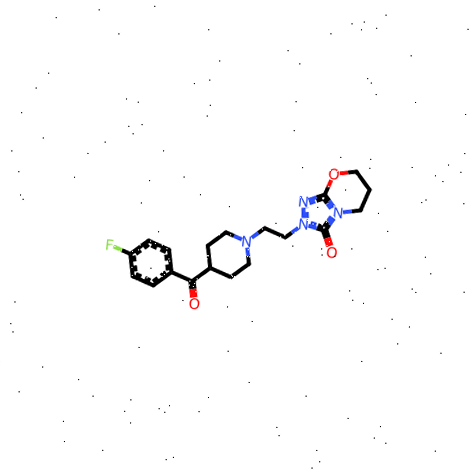 O=C(c1ccc(F)cc1)C1CCN(CCn2nc3n(c2=O)CCCO3)CC1